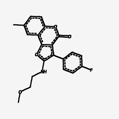 COCCNc1oc2c(c1-c1ccc(F)cc1)c(=O)oc1ccc(C)cc12